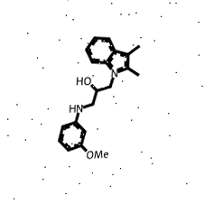 COc1cccc(NCC(O)Cn2c(C)c(C)c3ccccc32)c1